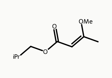 CO/C(C)=C\C(=O)OCC(C)C